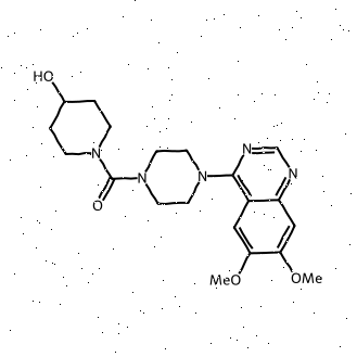 COc1cc2ncnc(N3CCN(C(=O)N4CCC(O)CC4)CC3)c2cc1OC